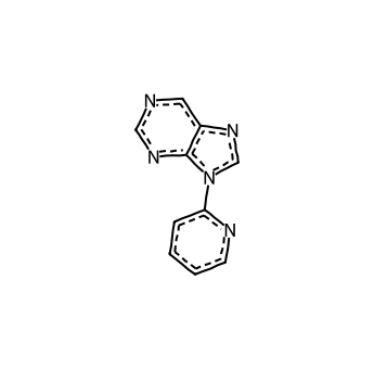 c1ccc(-n2cnc3cncnc32)nc1